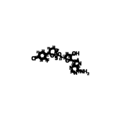 Nc1ncnc2c1ncn2[C@@H]1O[C@H](COP2(=S)OCCC(c3ccc(Cl)cc3F)O2)C[C@@H]1O